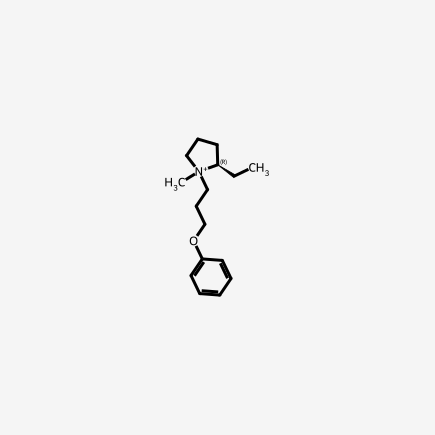 CC[C@@H]1CCC[N+]1(C)CCCOc1ccccc1